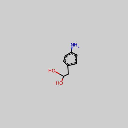 Nc1ccc(CC(O)O)cc1